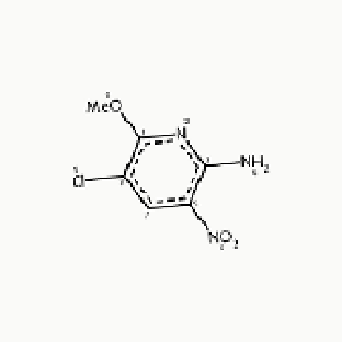 COc1nc(N)c([N+](=O)[O-])cc1Cl